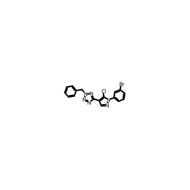 Clc1c(-c2nnn(Cc3ccccc3)n2)cnn1-c1cccc(Br)c1